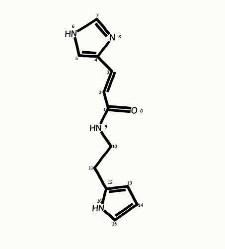 O=C(/C=C/c1c[nH]cn1)NCCc1ccc[nH]1